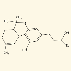 CCC(O)CCc1cc(O)c2c(c1)OC(C)(C)C1CCC(C)=CC21